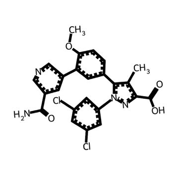 COc1ccc(-c2c(C)c(C(=O)O)nn2-c2cc(Cl)cc(Cl)c2)cc1-c1cncc(C(N)=O)c1